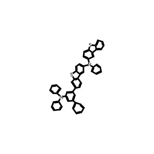 c1ccc(-c2cc(-c3ccc4c(c3)sc3ccc(N(c5ccccc5)c5ccc6sc7ccccc7c6c5)cc34)cc(N(c3ccccc3)c3ccccc3)c2)cc1